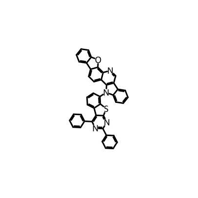 c1ccc(-c2nc(-c3ccccc3)c3c(n2)sc2c(-n4c5ccccc5c5cnc6c(ccc7c8ccccc8oc76)c54)cccc23)cc1